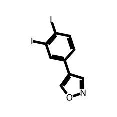 Ic1ccc(-c2cnoc2)cc1I